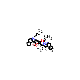 C=CCCN1/C(=C/C2=C(O)C(=C/C3=[N+](CCC=C)c4ccc5ccccc5c4C3(C)C)/C2=O)C(C)(C)c2c1ccc1ccccc21